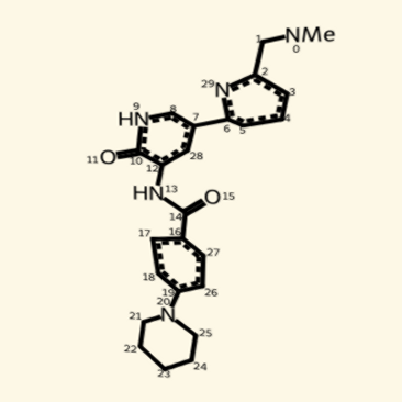 CNCc1cccc(-c2c[nH]c(=O)c(NC(=O)c3ccc(N4CCCCC4)cc3)c2)n1